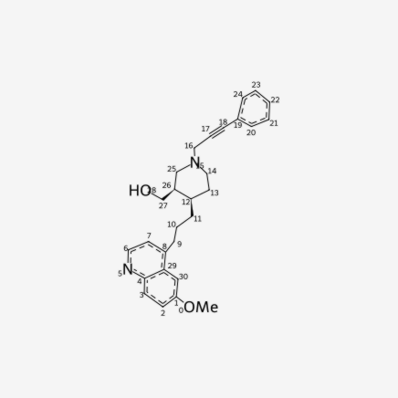 COc1ccc2nccc(CCC[C@@H]3CCN(CC#Cc4ccccc4)C[C@@H]3CO)c2c1